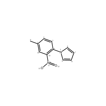 Cc1ccc(-n2cccc2)c([N+](=O)[O-])c1